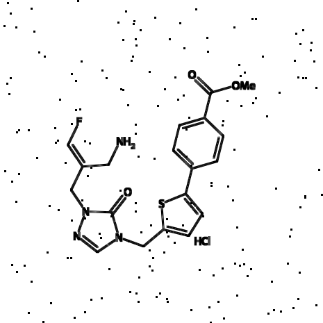 COC(=O)c1ccc(-c2ccc(Cn3cnn(CC(=CF)CN)c3=O)s2)cc1.Cl